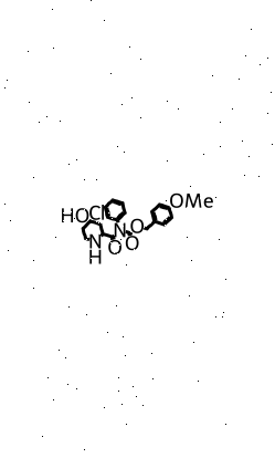 COc1ccc(COC(=O)N(C(=O)C2CC(O)(Cl)CCN2)c2ccccc2)cc1